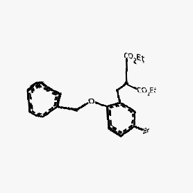 CCOC(=O)C(Cc1cc(Br)ccc1OCc1ccccc1)C(=O)OCC